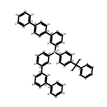 CC(C)(c1ccccc1)c1ccc(N(c2cccc(-c3ccc(-c4ccccc4)cc3)c2)c2cccc(-c3cccc(-c4ccccc4)c3)c2)cc1